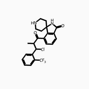 CC(C(=O)c1cccc2c1C1(CCNCC1)NC2=O)C(Cl)c1ccccc1C(F)(F)F